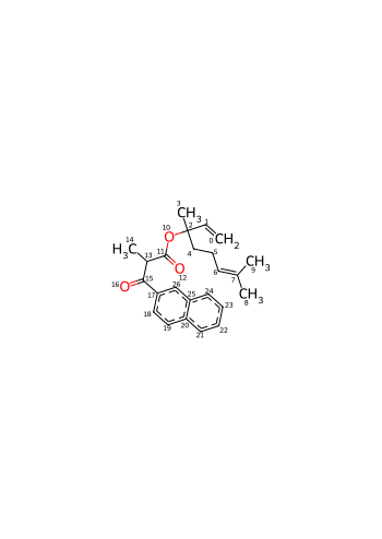 C=CC(C)(CCC=C(C)C)OC(=O)C(C)C(=O)c1ccc2ccccc2c1